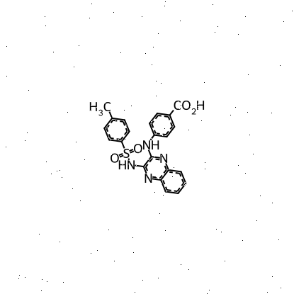 Cc1ccc(S(=O)(=O)Nc2nc3ccccc3nc2Nc2ccc(C(=O)O)cc2)cc1